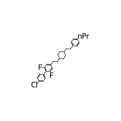 CCCc1ccc(CCC2CCC(CCc3cc(F)c(-c4ccc(Cl)cc4)c(F)c3)CC2)cc1